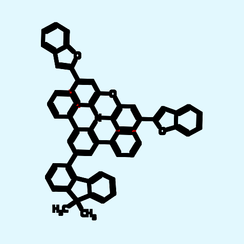 CC1(C)c2ccccc2-c2c(-c3cc(-c4ccccc4)c(N4c5ccc(-c6cc7ccccc7o6)cc5Oc5cc(-c6cc7ccccc7o6)ccc54)c(-c4ccccc4)c3)cccc21